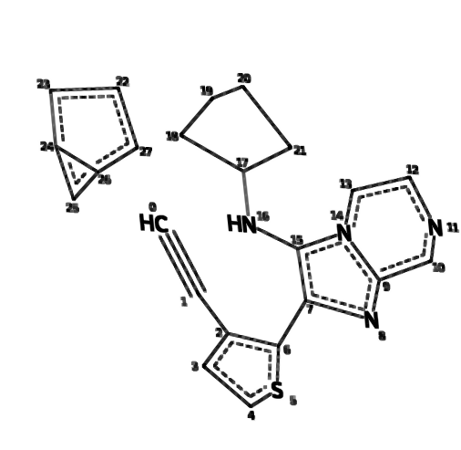 C#Cc1ccsc1-c1nc2cnccn2c1NC1CCCC1.c1cc2cc-2c1